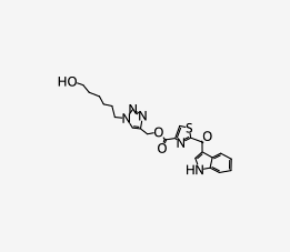 O=C(OCc1cn(CCCCCCO)nn1)c1csc(C(=O)c2c[nH]c3ccccc23)n1